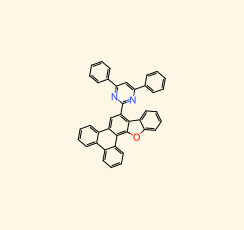 c1ccc(-c2cc(-c3ccccc3)nc(-c3cc4c5ccccc5c5ccccc5c4c4oc5ccccc5c34)n2)cc1